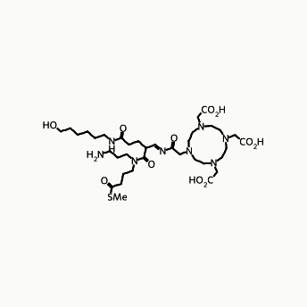 CSC(=O)CCCN(CCCN)C(=O)C(/C=N/C(=O)CN1CCN(CC(=O)O)CCN(CC(=O)O)CCN(CC(=O)O)CC1)CCC(=O)NCCCCCCO